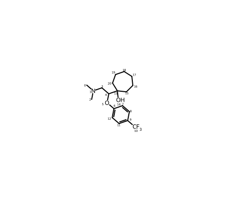 CN(C)CC(Oc1ccc(C(F)(F)F)cc1)C1(O)CCCCCC1